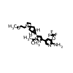 COCCN1CC[C@@]12C[C@@H]1[C@H](C2)[C@H]1c1cc(-c2cnc(N)c(OC(F)(F)F)c2)nn1C(C)C